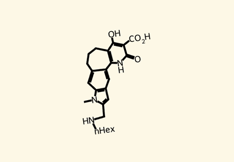 CCCCCCNCc1cc2cc3c(cc2n1C)CCCc1c-3[nH]c(=O)c(C(=O)O)c1O